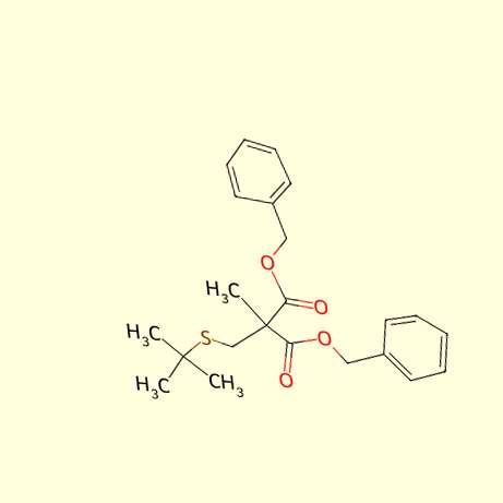 CC(C)(C)SCC(C)(C(=O)OCc1ccccc1)C(=O)OCc1ccccc1